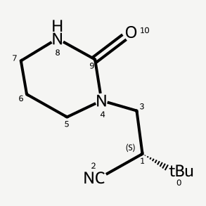 CC(C)(C)[C@H](C#N)CN1CCCNC1=O